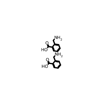 NCc1ccccc1C(=O)O.NCc1ccccc1C(=O)O